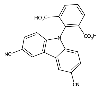 N#Cc1ccc2c(c1)c1cc(C#N)ccc1n2-c1c(C(=O)O)cccc1C(=O)O